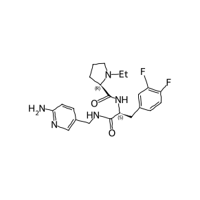 CCN1CCC[C@@H]1C(=O)N[C@@H](Cc1ccc(F)c(F)c1)C(=O)NCc1ccc(N)nc1